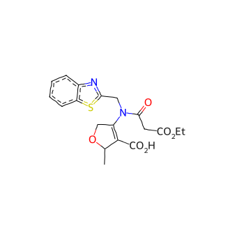 CCOC(=O)CC(=O)N(Cc1nc2ccccc2s1)C1=C(C(=O)O)C(C)OC1